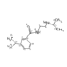 CC(C)NCCNC(=O)c1cccc(C(C)C)c1